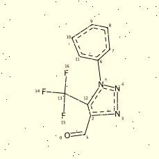 O=Cc1nnn(-c2ccccc2)c1C(F)(F)F